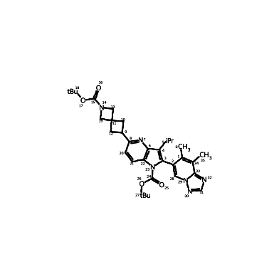 Cc1c(-c2c(C(C)C)c3nc(C4CC5(C4)CN(C(=O)OC(C)(C)C)C5)ccc3n2C(=O)OC(C)(C)C)cn2ncnc2c1C